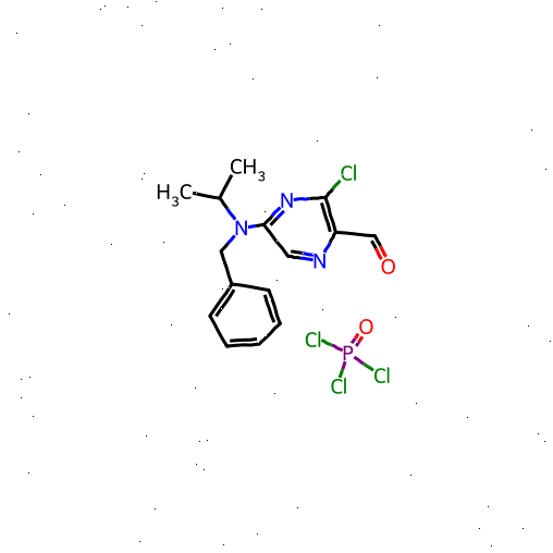 CC(C)N(Cc1ccccc1)c1cnc(C=O)c(Cl)n1.O=P(Cl)(Cl)Cl